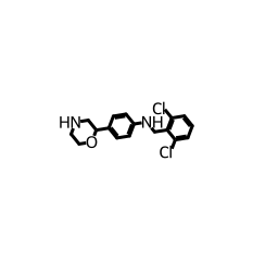 Clc1cccc(Cl)c1CNc1ccc(C2CNCCO2)cc1